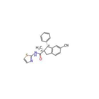 C[C@@]1(C(=O)Nc2nccs2)Cc2ccc(C#N)cc2[C@H]1c1ccccc1